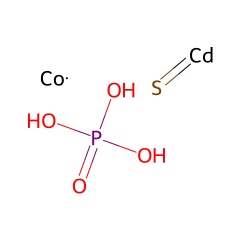 O=P(O)(O)O.[Co].[S]=[Cd]